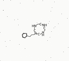 c1ccc(CCCN2CCNCCNCCNCC2)cc1